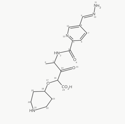 CC(NC(=O)c1ccc(C=NN)cn1)C(=O)C(OC1CCNCC1)C(=O)O